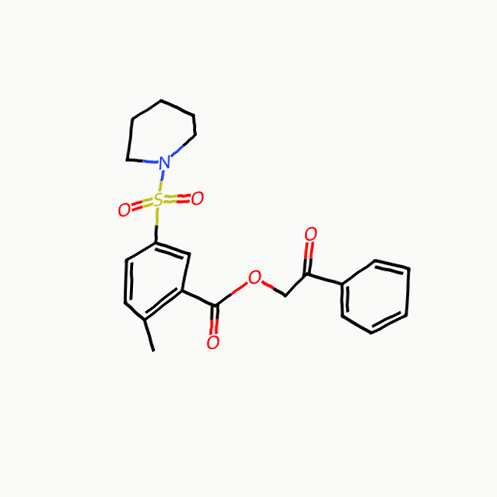 Cc1ccc(S(=O)(=O)N2CCCCC2)cc1C(=O)OCC(=O)c1ccccc1